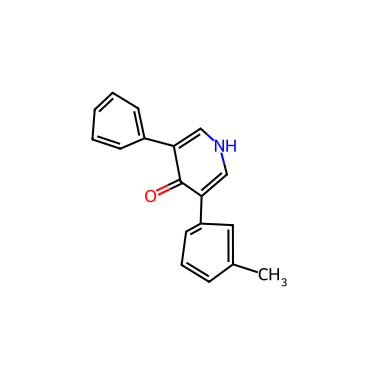 Cc1cccc(-c2c[nH]cc(-c3ccccc3)c2=O)c1